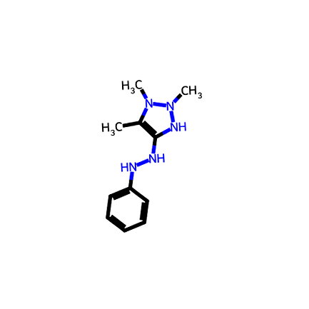 CC1=C(NNc2ccccc2)NN(C)N1C